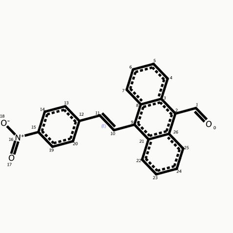 O=Cc1c2ccccc2c(/C=C/c2ccc([N+](=O)[O-])cc2)c2ccccc12